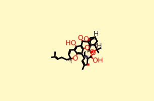 CC(C)=CCC[C@@]1(C)C=Cc2c(O)c3c(c(CC=C(C)C)c2O1)O[C@]12C(=C[C@@H]4C[C@H]1C(C)(C)O[C@@]2(C/C=C(/C)C(=O)O)C4=O)C3=O